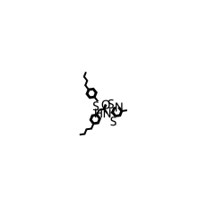 CCCCc1ccc(CSC(C(=O)Nc2c(SC)cc(C)nc2SC)c2ccc(CCCC)cc2)cc1